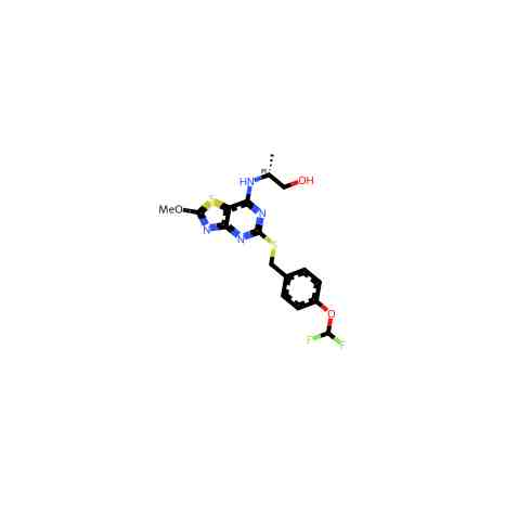 COc1nc2nc(SCc3ccc(OC(F)F)cc3)nc(N[C@H](C)CO)c2s1